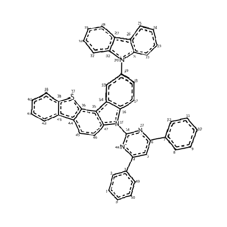 c1ccc(-c2cc(-c3ccccc3)nc(-n3c4ccc(-n5c6ccccc6c6ccccc65)cc4c4c5sc6ccccc6c5ccc43)n2)cc1